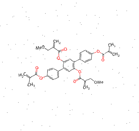 C=C(C)C(=O)Oc1ccc(-c2cc(OC(=O)C(=C)COC)c(-c3ccc(OC(=O)C(=C)C)cc3)cc2OC(=O)C(=C)COC)cc1